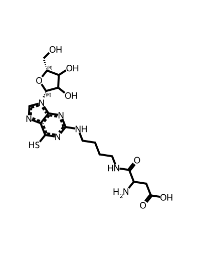 NC(CC(=O)O)C(=O)NCCCCNc1nc(S)c2ncn([C@@H]3O[C@H](CO)C(O)C3O)c2n1